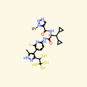 Cc1[nH]nc(C(S)C(S)(S)S)c1-c1ccc(NC(=O)[C@@H](NC(=O)c2cnnn2C(C)C)C(C2CC2)C2CC2)nc1F